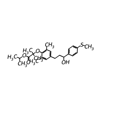 CSc1ccc(C(O)CCc2cc(C)c(OC(C)(C)C(=O)OC(C)C)c(C)c2)cc1